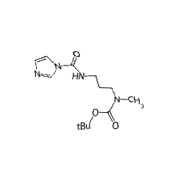 CN(CCCNC(=O)n1ccnc1)C(=O)OC(C)(C)C